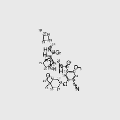 COc1cc(C#N)c(O[C@H]2CC[C@@](C)(C=O)CC2)cc1C(=O)NC[C@@H]1[C@H]2CC[C@H](C2)[C@@H]1C(=O)NC[C@H]1C[C@@H](C)C1